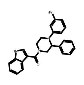 CC(C)c1c[c]cc(N2CCN(C(=O)c3c[nH]c4ccccc34)CC2c2ccccc2)c1